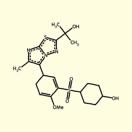 COC1=CCC(c2c(C)nc3sc(C(C)(C)O)nn23)C=C1S(=O)(=O)C1CCC(O)CC1